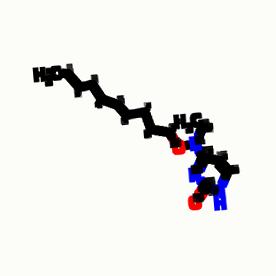 CCCCCCCCCCON(CC)c1cc[nH]c(=O)n1